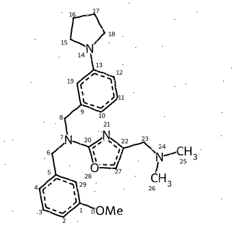 COc1cccc(CN(Cc2cccc(N3CCCC3)c2)c2nc(CN(C)C)co2)c1